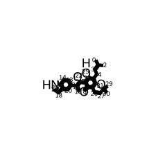 CC(C)=CCc1c2c(c3occ(-c4ccc5[nH]ccc5c4)c(=O)c3c1O)C=CC(C)(C)O2